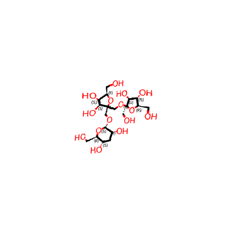 OC[C@H]1O[C@](CO[C@H]2O[C@H](CO)[C@@H](O)C[C@H]2O)(CO[C@]2(CO)O[C@H](CO)[C@@H](O)[C@@H]2O)[C@@H](O)[C@@H]1O